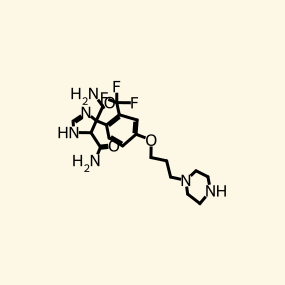 NC(=O)C1NC=NC1(C(N)=O)c1ccc(OCCCN2CCNCC2)cc1C(F)(F)F